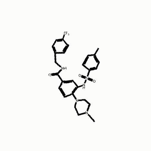 Cc1ccc(S(=O)(=O)Nc2cc(C(=O)NCc3ccc(C(F)(F)F)cc3)ccc2N2CCN(C)CC2)cc1